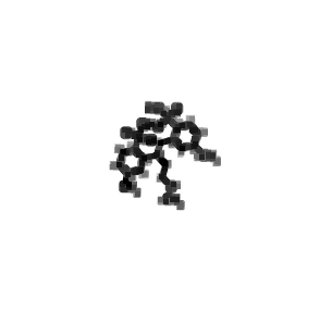 COCC[C@H](Cc1cc(C)ccc1S(=O)(=O)O)c1cc(C)ccc1S(=O)(=O)O